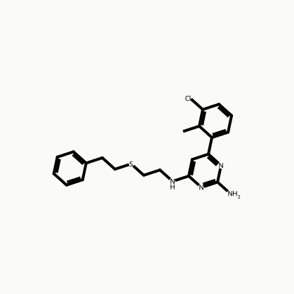 Cc1c(Cl)cccc1-c1cc(NCCSCCc2ccccc2)nc(N)n1